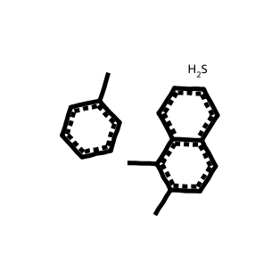 Cc1ccc2ccccc2c1C.Cc1ccccc1.S